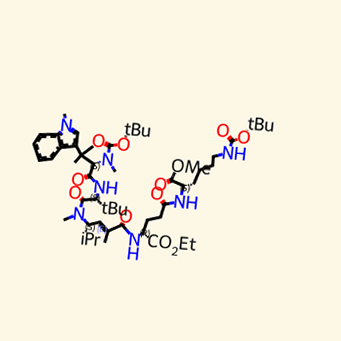 CCOC(=O)[C@@H](CCC(=O)N[C@@H](CCCCNC(=O)OC(C)(C)C)C(=O)OC)NC(=O)/C(C)=C/[C@H](C(C)C)N(C)C(=O)[C@@H](NC(=O)[C@@H](N(C)C(=O)OC(C)(C)C)C(C)(C)c1cn(C)c2ccccc12)C(C)(C)C